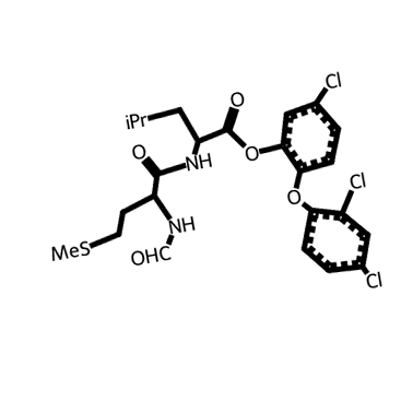 CSCCC(NC=O)C(=O)NC(CC(C)C)C(=O)Oc1cc(Cl)ccc1Oc1ccc(Cl)cc1Cl